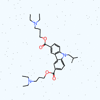 CCN(CC)CCCOC(=O)c1ccc2c(c1)c1cc(C(=O)OCCCN(CC)CC)ccc1n2CC(C)C